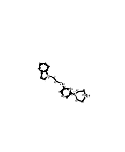 c1ccc2c(c1)ccn2CCOc1cncc(N2CCNCC2)n1